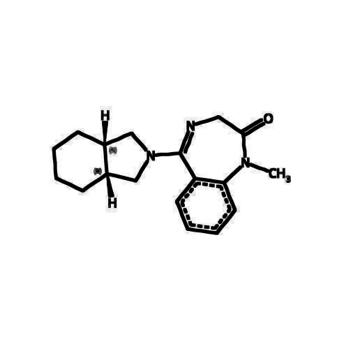 CN1C(=O)CN=C(N2C[C@H]3CCCC[C@H]3C2)c2ccccc21